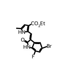 CCOC(=O)c1cc(C)[nH]c1/C=C1\C(=O)Nc2c(F)cc(Br)cc21